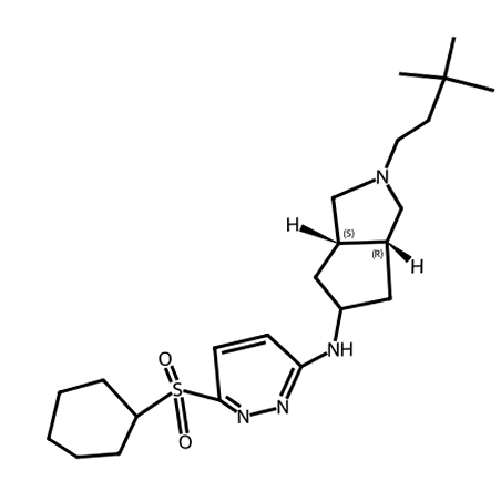 CC(C)(C)CCN1C[C@H]2CC(Nc3ccc(S(=O)(=O)C4CCCCC4)nn3)C[C@H]2C1